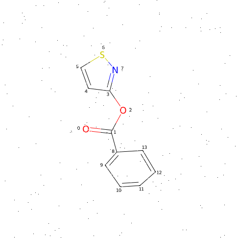 O=C(Oc1ccsn1)c1ccccc1